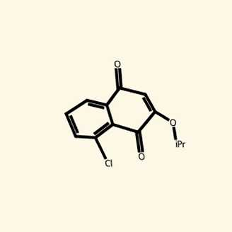 CC(C)OC1=CC(=O)c2cccc(Cl)c2C1=O